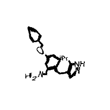 CC(C)c1[nH]ncc1Cc1ccc(OCc2ccccc2)cc1CN